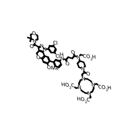 COc1cc2c(cc1-c1cccc(NC(=O)CCC(=O)N(CC(=O)O)C3CCN(C(=O)CN4CCN(CC(=O)O)CCN(CC(=O)O)CCN(CC(=O)O)CC4)CC3)c1)-c1c(c(C(=O)N3CCOCC3(C)C)nn1-c1cc(Cl)cc(Cl)c1)CO2